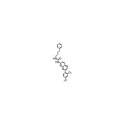 COc1ccc(-c2cnc3ccc(NC(=O)N[C@H](C)CCCc4ccccc4)nc3n2)c(OC)c1